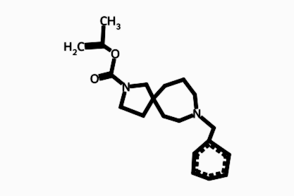 C=C(C)OC(=O)N1CCC2(CCCN(Cc3ccccc3)CC2)C1